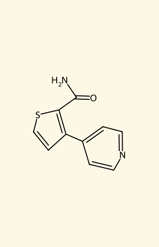 NC(=O)c1sccc1-c1ccncc1